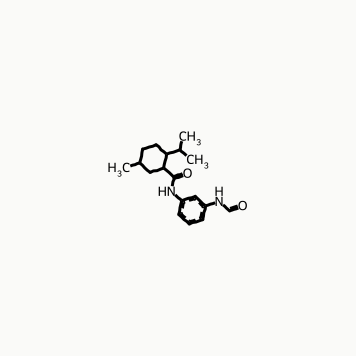 CC1CCC(C(C)C)C(C(=O)Nc2cccc(NC=O)c2)C1